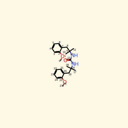 COc1ccccc1CC(C)(C)NC(=O)NC(C)(C)Cc1ccccc1OC